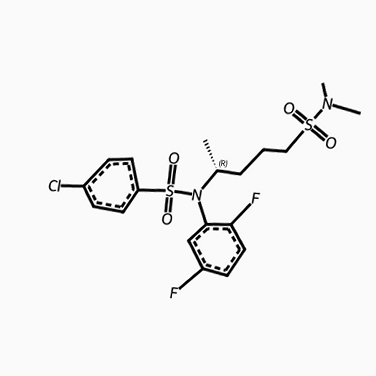 C[C@H](CCCS(=O)(=O)N(C)C)N(c1cc(F)ccc1F)S(=O)(=O)c1ccc(Cl)cc1